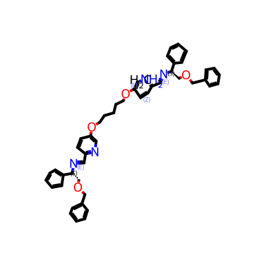 C=C(/C=C\C(=C/N)OCCCCCOc1ccc(/C=N/[C@H](COCc2ccccc2)c2ccccc2)nc1)/C=N/[C@H](COCc1ccccc1)c1ccccc1